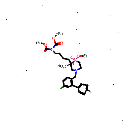 CCOP1(=O)CCN(Cc2ccc(Cl)cc2-c2ccc(F)cc2)C[C@@]1(CCCCN(C(=O)OC(C)(C)C)C(=O)OC(C)(C)C)C(=O)O